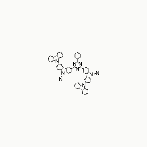 N#Cn1c2ccc(-c3nc(-c4ccccc4)nc(-c4ccc5c(c4)c4cc(-n6c7ccccc7c7ccccc76)ccc4n5C#N)n3)cc2c2cc(-n3c4ccccc4c4ccccc43)ccc21